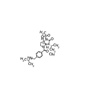 CC(C)NCc1ccc(C(=O)N2CC[C@H]3[C@H]2[C@@H](C(C)C)C(=O)N3S(C)(=O)=O)cc1.Cl